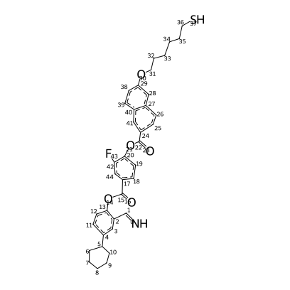 N=Cc1cc(C2CCCCC2)ccc1OC(=O)c1ccc(OC(=O)c2ccc3cc(OCCCCCCS)ccc3c2)c(F)c1